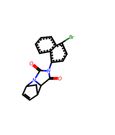 O=C1C2C3C=CC(C3)N2C(=O)N1c1ccc(Br)c2ccccc12